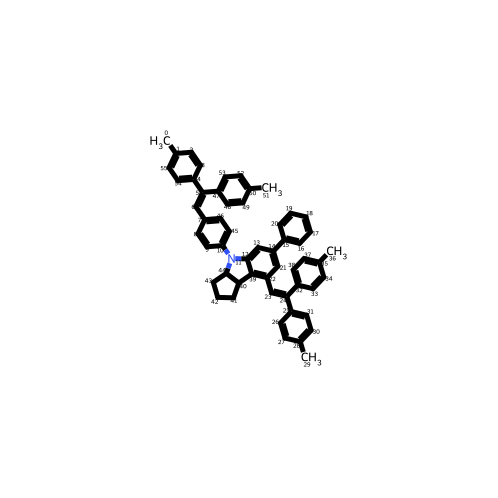 Cc1ccc(C(=Cc2ccc(N3c4cc(-c5ccccc5)cc(C=C(c5ccc(C)cc5)c5ccc(C)cc5)c4C4CCCC43)cc2)c2ccc(C)cc2)cc1